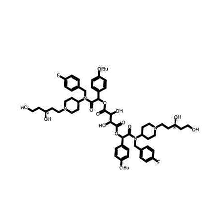 CC(C)COc1ccc(C(OC(=O)C(O)C(O)C(=O)OC(C(=O)N(Cc2ccc(F)cc2)C2CCN(CC[C@@H](O)CCO)CC2)c2ccc(OCC(C)C)cc2)C(=O)N(Cc2ccc(F)cc2)C2CCN(CC[C@@H](O)CCO)CC2)cc1